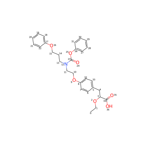 CCOC(Cc1ccc(OCCN(CCCOc2ccccc2)C(=O)Oc2ccccc2)cc1)C(=O)O